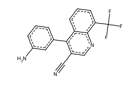 N#Cc1cnc2c(C(F)(F)F)cccc2c1-c1cccc(N)c1